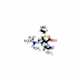 C/N=C(\NC)N(C)C.N[C@H]1C(=O)N2C(C(=O)O)=C(CSc3cnns3)CS[C@H]12